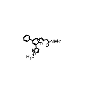 CNC(=O)Cc1cn2cc(-c3ccccc3)cc(-c3ccn(C)n3)c2n1